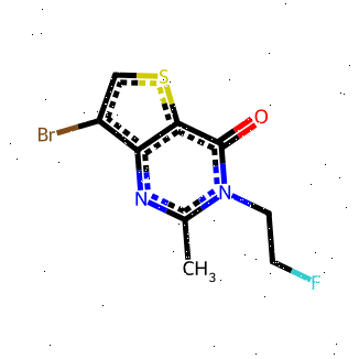 Cc1nc2c(Br)csc2c(=O)n1CCF